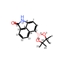 CC1(C)OB(c2ccc3c4c(cccc24)C(=O)N3)OC1(C)C